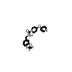 O=C(NCc1cccc(OC(F)(F)F)c1)N1CCC(Oc2ccncc2)CC1